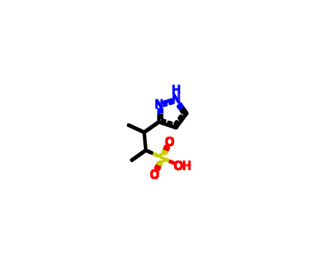 CC(c1cc[nH]n1)C(C)S(=O)(=O)O